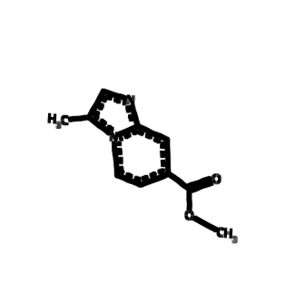 COC(=O)c1ccn2c(C)cnc2c1